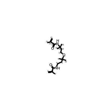 C=C(C)C(=O)NCCC(C)(C)OCCC(C)(C)NC(=O)C(=C)C